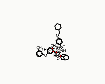 Cc1cccc(Oc2cccc(C(F)(F)C(NS(=O)(=O)c3ccc(OCC4CCCCC4)cc3)C(=O)C3C4CCC3CC(NC(=O)OC(C)(C)C)C4)c2)c1